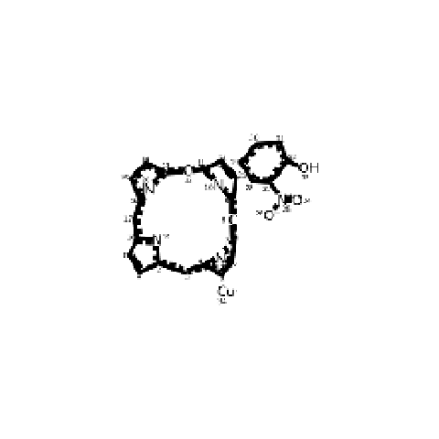 C1=Cc2cc3ccc(cc4nc(cc5ccc(cc1n2)[nH]5)C=C4)[nH]3.O=[N+]([O-])c1ccccc1O.[Cu]